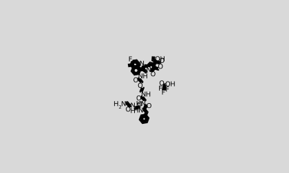 CC[C@@]1(O)C(=O)OCc2c1cc1n(c2=O)Cc2c-1nc1cc(F)c(C)c3c1c2[C@@H](NC(=O)COCCNC(=O)CNC(=O)C(Cc1ccccc1)NC(=O)CNC(=O)CN)CC3.O=C(O)C(F)(F)F